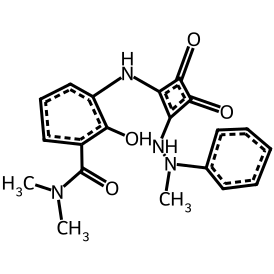 CN(C)C(=O)c1cccc(Nc2c(NN(C)c3ccccc3)c(=O)c2=O)c1O